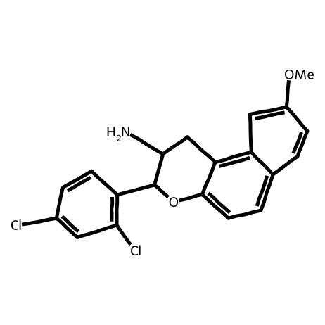 COc1ccc2ccc3c(c2c1)CC(N)C(c1ccc(Cl)cc1Cl)O3